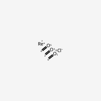 C=O.C=O.C=O.[Cl-].[Re+]